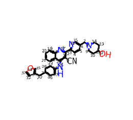 N#Cc1c(-c2ccc(CN3CCC(O)CC3)cn2)nc2ccccc2c1Nc1ccc(Cc2ccoc2)cc1